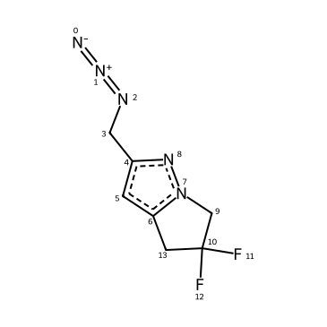 [N-]=[N+]=NCc1cc2n(n1)CC(F)(F)C2